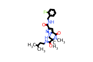 CC(C)CCNC(=O)C1(C)Cn2nc(C(=O)NCc3ccccc3F)cc2C(=O)N1C